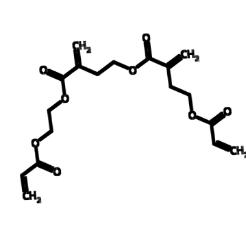 C=CC(=O)OCCOC(=O)C(=C)CCOC(=O)C(=C)CCOC(=O)C=C